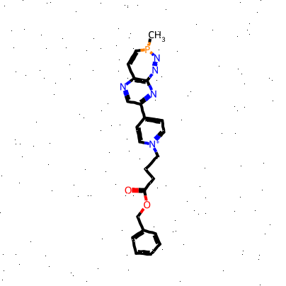 CP1C=Cc2ncc(-c3cc[n+](CCCC(=O)OCc4ccccc4)cc3)nc2N=N1